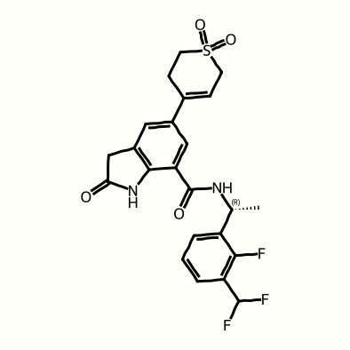 C[C@@H](NC(=O)c1cc(C2=CCS(=O)(=O)CC2)cc2c1NC(=O)C2)c1cccc(C(F)F)c1F